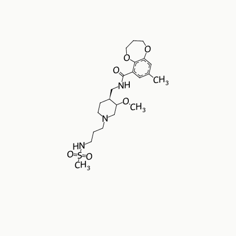 COC1CN(CCCNS(C)(=O)=O)CC[C@H]1CNC(=O)c1cc(C)cc2c1OCCCO2